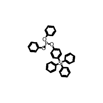 c1ccc(OP(Oc2ccccc2)Oc2ccc([Si](c3ccccc3)(c3ccccc3)c3ccccc3)cc2)cc1